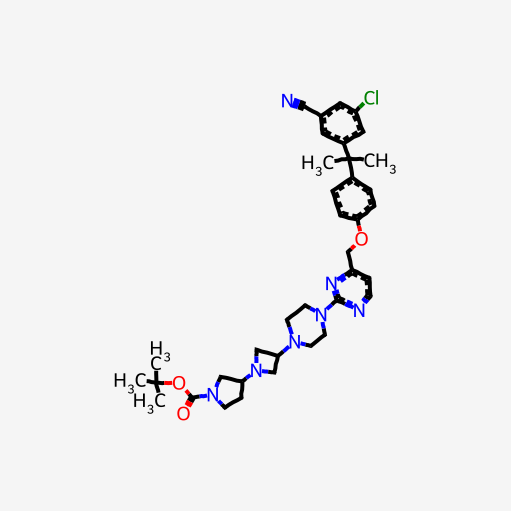 CC(C)(C)OC(=O)N1CCC(N2CC(N3CCN(c4nccc(COc5ccc(C(C)(C)c6cc(Cl)cc(C#N)c6)cc5)n4)CC3)C2)C1